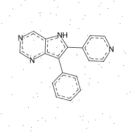 c1ccc(-c2c(-c3ccncc3)[nH]c3cncnc23)cc1